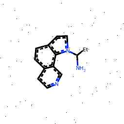 C[CH]C(N)n1ccc2ccc3ccncc3c21